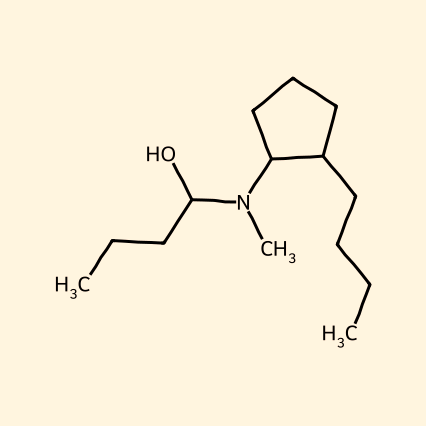 CCCCC1CCCC1N(C)C(O)CCC